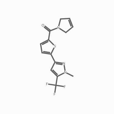 Cn1nc(-c2ccc(C(=O)N3CC=CC3)s2)cc1C(F)(F)F